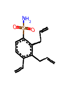 C=CCc1c(C=C)ccc(S(N)(=O)=O)c1CC=C